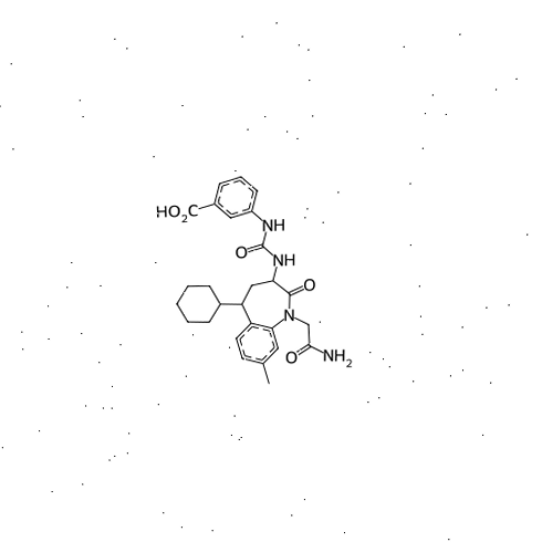 Cc1ccc2c(c1)N(CC(N)=O)C(=O)C(NC(=O)Nc1cccc(C(=O)O)c1)CC2C1CCCCC1